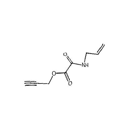 C#CCOC(=O)C(=O)NCC=C